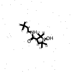 CC(C)(C)CCNC(=O)C1CC(C)(C)N(O)C1(C)C